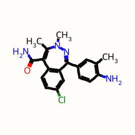 CC1=C(C(N)=O)c2ccc(Cl)cc2C(c2ccc(N)c(C)c2)=NN1C